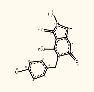 CCCCc1c2c(=O)n(C)[nH]c2cc(=O)n1Cc1ccc(Cl)cc1